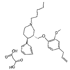 C=CCc1ccc(OC[C@H]2CN(CCCCC)CC[C@@H]2c2ccccc2)c(OC)c1.O=C(O)C(=O)O